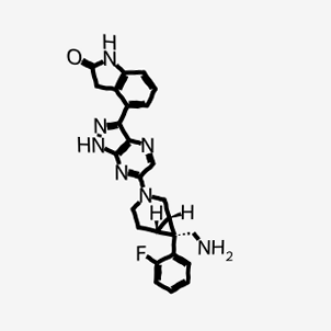 NC[C@]1(c2ccccc2F)[C@@H]2CCN(c3cnc4c(-c5cccc6c5CC(=O)N6)n[nH]c4n3)C[C@@H]21